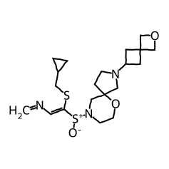 C=N/C=C(\SCC1CC1)[S+]([O-])N1CCOC2(CCN(C3CC4(COC4)C3)C2)C1